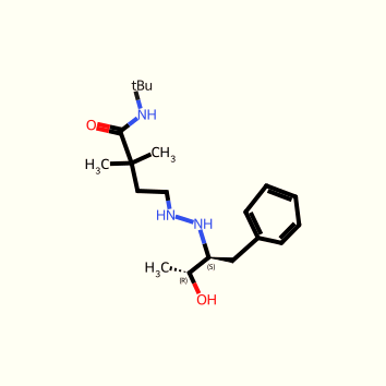 C[C@@H](O)[C@H](Cc1ccccc1)NNCCC(C)(C)C(=O)NC(C)(C)C